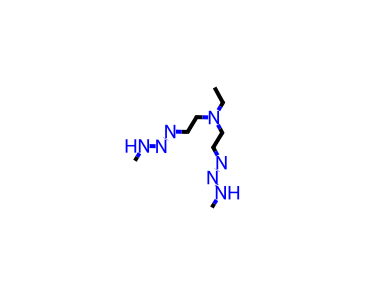 CCN(CCN=NNC)CCN=NNC